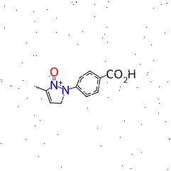 CC1=CCN(c2ccc(C(=O)O)cc2)[N+]1=O